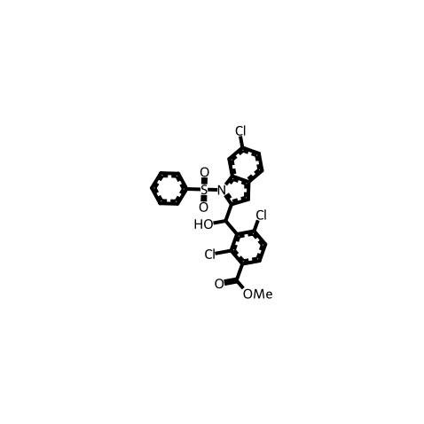 COC(=O)c1ccc(Cl)c(C(O)c2cc3ccc(Cl)cc3n2S(=O)(=O)c2ccccc2)c1Cl